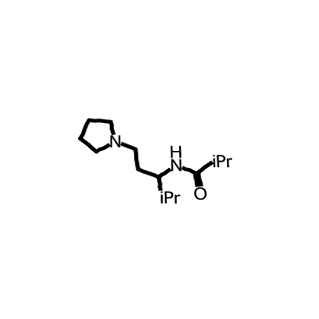 CC(C)C(=O)NC(CCN1CCCC1)C(C)C